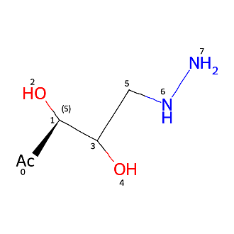 CC(=O)[C@@H](O)C(O)CNN